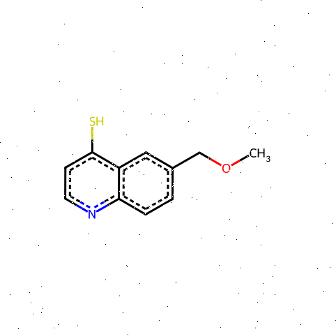 COCc1ccc2nccc(S)c2c1